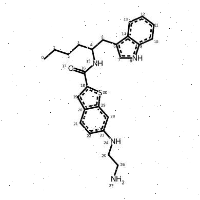 CCCCC(Cc1c[nH]c2ccccc12)NC(=O)c1cc2ccc(NCCN)cc2s1